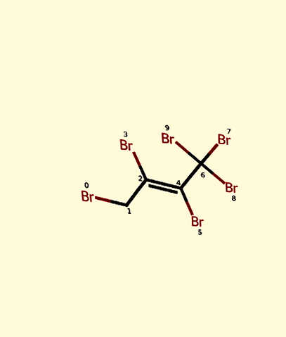 BrCC(Br)=C(Br)C(Br)(Br)Br